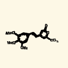 COc1cc(C=Cc2cc(C(Cl)(Cl)Cl)oc(=O)c2)cc(OC)c1OC